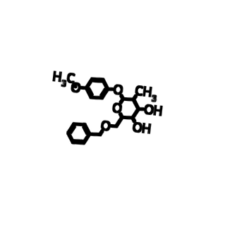 COc1ccc(OC2OC(COCc3ccccc3)C(O)C(O)C2C)cc1